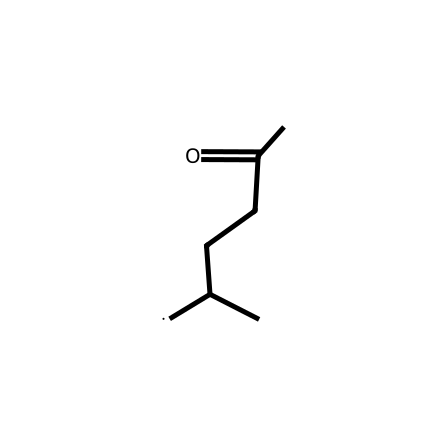 [CH2]C(C)CCC(C)=O